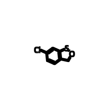 Clc1ccc2c(c1)SOC2